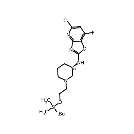 CC(C)(C)[Si](C)(C)OCCN1CCC[C@@H](Nc2nc3nc(Cl)cc(F)c3o2)C1